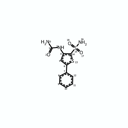 NC(=O)Nc1cc(-c2ccccc2)sc1S(N)(=O)=O